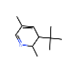 CC1=CC(C(C)(C)C)C(C)N=C1